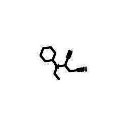 C#CC(CC#N)N(CC)C1CCCCC1